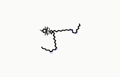 CCCCC/C=C\C/C=C\CCCCCCCCC1(CCCCCCCC/C=C\C/C=C\CCCCC)CC2(C1)O[C@H]1C[C@@H](C)C[C@H]1O2